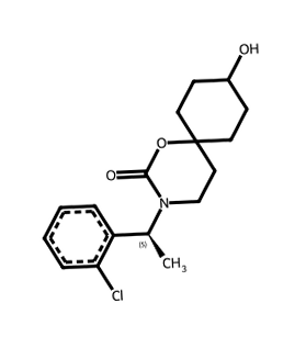 C[C@@H](c1ccccc1Cl)N1CCC2(CCC(O)CC2)OC1=O